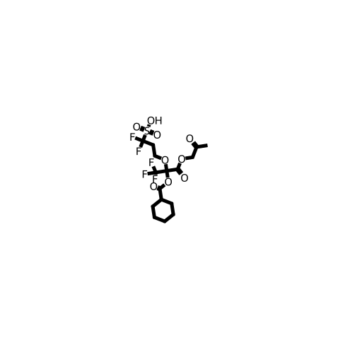 CC(=O)COC(=O)C(OCCC(F)(F)S(=O)(=O)O)(OC(=O)C1CCCCC1)C(F)(F)F